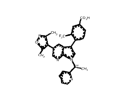 Cc1noc(C)c1-c1cnc2c(c1)c(-c1ccc(C(=O)O)cc1C(F)(F)F)cn2[C@@H](C)c1ccccn1